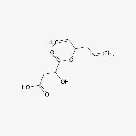 C=CCC(C=C)OC(=O)C(O)CC(=O)O